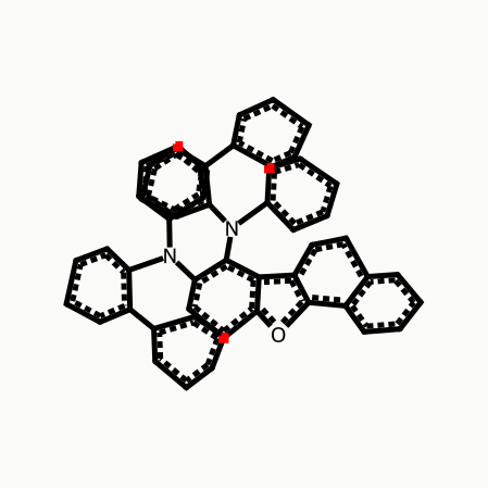 c1ccc(-c2ccccc2N(c2ccccc2)c2ccc3oc4c5ccccc5ccc4c3c2N(c2ccccc2)c2ccccc2-c2ccccc2)cc1